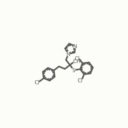 CC(CCc1ccc(Cl)cc1)(Cn1ccnc1)Sc1c(Cl)cccc1Cl